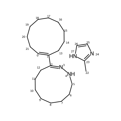 C1=C(C2=NNCCCCCCCC2)CCCCCCCCC1.Cc1ncc[nH]1